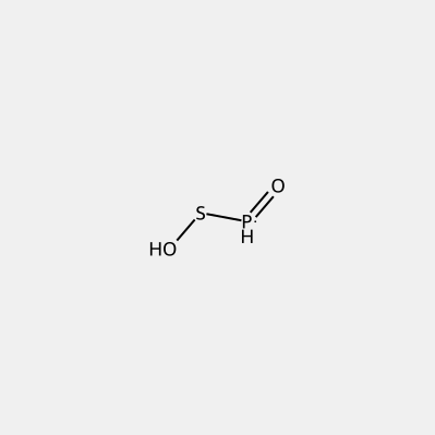 O=[PH]SO